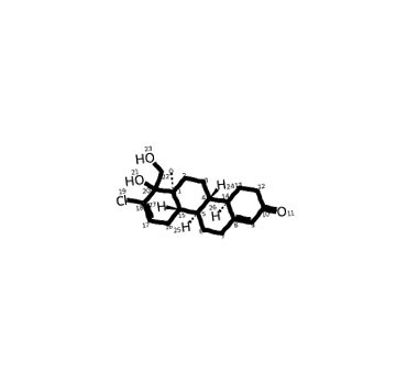 C[C@]12CC[C@H]3[C@@H](CCC4=CC(=O)CC[C@@H]43)[C@@H]1CC=C(Cl)C2(O)CO